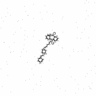 O=C1Nc2cccnc2N(C(=O)CCCCCN2CCN(CCc3ccccc3)CC2)c2ccccc21